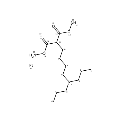 CCCN(CCC)CCCCC(C(=O)ON)C(=O)ON.[Pt]